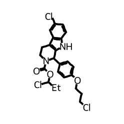 CCC(Cl)OC(=O)N1CCc2c([nH]c3ccc(Cl)cc23)C1c1ccc(OCCCCl)cc1